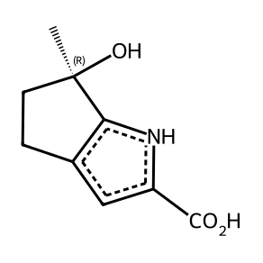 C[C@@]1(O)CCc2cc(C(=O)O)[nH]c21